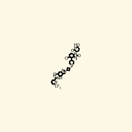 Cn1c(=O)n(C2CCC(=O)NC2=O)c2ccc(Cl)c(C3CCN(C[C@H]4C[C@H](n5cc6cc(NC(=O)c7cccc(C(F)(F)F)n7)c(Cl)cc6n5)C4)CC3)c21